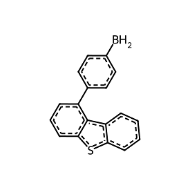 Bc1ccc(-c2cccc3sc4ccccc4c23)cc1